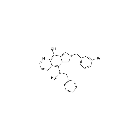 CN(Cc1ccccc1)c1c2cn(Cc3cccc(Br)c3)cc2c(O)c2ncccc12